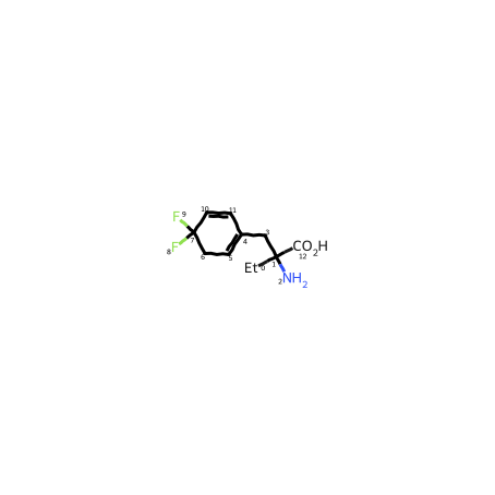 CCC(N)(CC1=CCC(F)(F)C=C1)C(=O)O